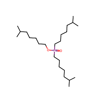 CC(C)CCCCCOP(=O)(CCCCCC(C)C)CCCCCC(C)C